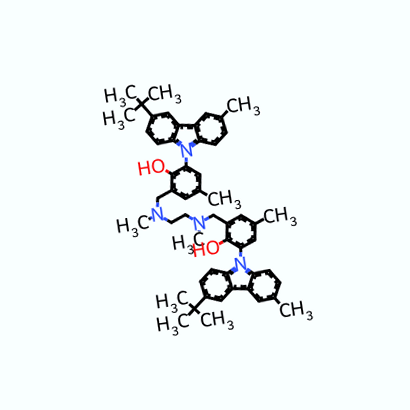 Cc1cc(CN(C)CCN(C)Cc2cc(C)cc(-n3c4ccc(C)cc4c4cc(C(C)(C)C)ccc43)c2O)c(O)c(-n2c3ccc(C)cc3c3cc(C(C)(C)C)ccc32)c1